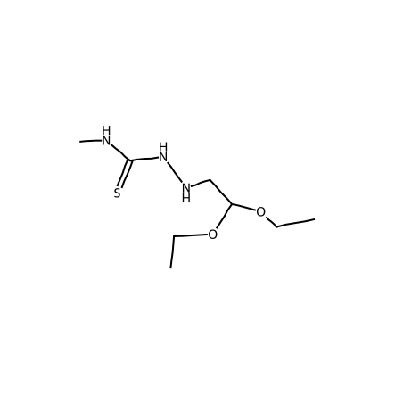 CCOC(CNNC(=S)NC)OCC